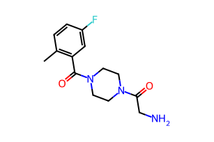 Cc1ccc(F)cc1C(=O)N1CCN(C(=O)CN)CC1